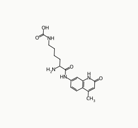 Cc1cc(=O)[nH]c2cc(NC(=O)C(N)CCCCNC(=O)O)ccc12